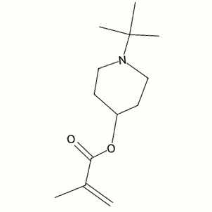 C=C(C)C(=O)OC1CCN(C(C)(C)C)CC1